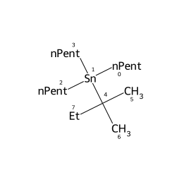 CCCC[CH2][Sn]([CH2]CCCC)([CH2]CCCC)[C](C)(C)CC